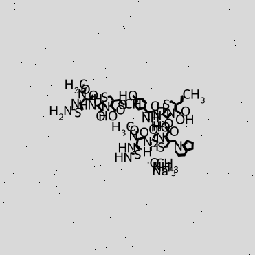 C/C=C/C1=C(C(=O)O)N2C(=O)[C@@H](NC(=O)[C@H](N)c3ccc(O)cc3)[C@H]2SC1.CO/N=C(\C(=O)N[C@@H]1C(=O)N2C(C(=O)O)=C(C[n+]3cccc4c3CCC4)CS[C@H]12)c1csc(=N)[nH]1.COCC1=C(C(=O)O)N2C(=O)[C@@H](NC(=O)/C(=N\OC)c3csc(N)n3)[C@H]2SC1.C[O].N.[Na+]